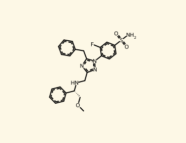 COC[C@@H](NCc1nc(Cc2ccccc2)n(-c2ccc(S(N)(=O)=O)cc2F)n1)c1ccccc1